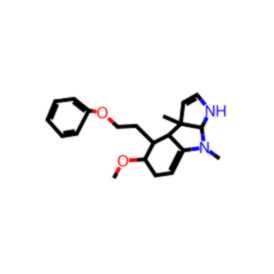 COC1CC=C2C(C1CCOc1ccccc1)C1(C)C=CNC1N2C